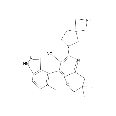 Cc1ccc2[nH]ncc2c1-c1c(C#N)c(N2CCC3(CNC3)C2)nc2c1CCC(C)(C)C2